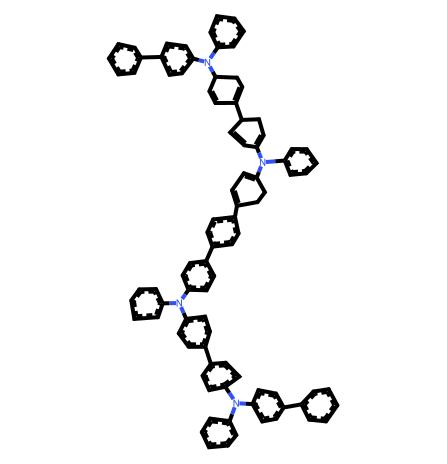 C1=CC(N(c2ccccc2)c2ccc(-c3ccccc3)cc2)CC=C1C1C=CC(N(C2=CC=C(c3ccc(-c4ccc(N(c5ccccc5)c5ccc(-c6ccc(N(c7ccccc7)c7ccc(-c8ccccc8)cc7)cc6)cc5)cc4)cc3)CC2)c2ccccc2)=CC1